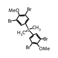 COc1c(Br)cc(S(C)(C)c2cc(Br)c(OC)c(Br)c2)cc1Br